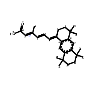 C/C(C=CC=C1CCC(C)(C)c2cc3c(cc21)C(C)(C)CCC3(C)C)=C\C(=O)O